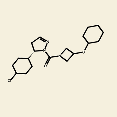 O=C(N1CC(OC2CCCCC2)C1)N1N=CC[C@H]1C1CCC(Cl)CC1